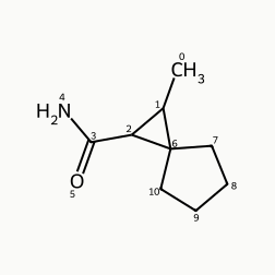 CC1C(C(N)=O)C12CCCC2